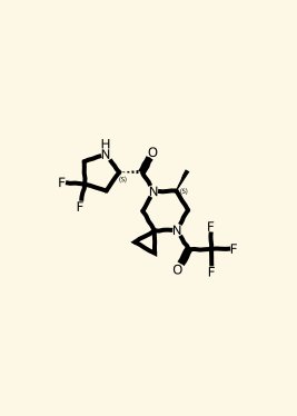 C[C@H]1CN(C(=O)C(F)(F)F)C2(CC2)CN1C(=O)[C@@H]1CC(F)(F)CN1